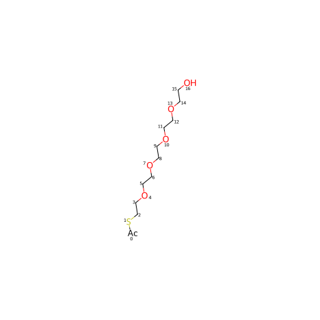 CC(=O)SCCOCCOCCOCCOCCO